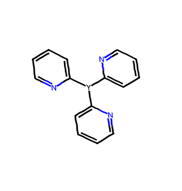 c1cc[c]([Y]([c]2ccccn2)[c]2ccccn2)nc1